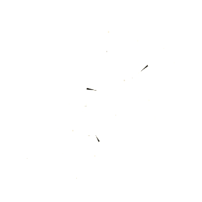 C[C@]12C=CC(=O)C=C1C(O)C[C@@H]1[C@@H]2C(O)C[C@@]2(C)[C@H]1CC[C@]2(O)C(=O)CO